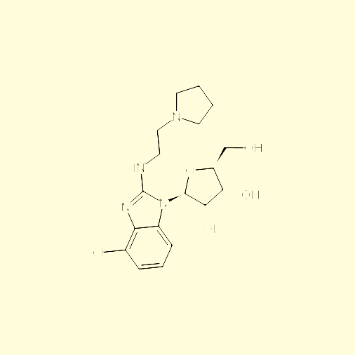 OC[C@@H]1O[C@H](n2c(NCCN3CCCC3)nc3c(Cl)cccc32)[C@@H](O)[C@H]1O